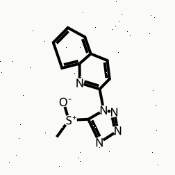 C[S+]([O-])c1nnnn1-c1ccc2ccccc2n1